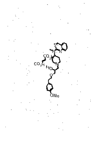 COc1ccc(CCOCC(O)CN2CCC(N(C)C3=Nc4ccccc4CS3)CC2)cc1.O=C(O)/C=C/C(=O)O